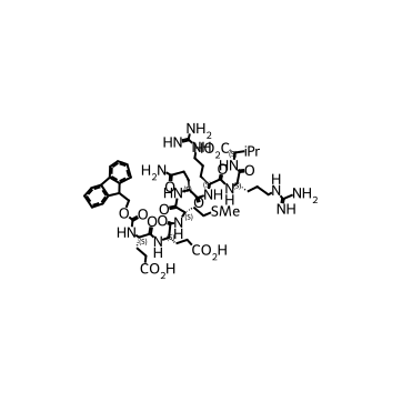 CSCC[C@H](NC(=O)[C@H](CCC(=O)O)NC(=O)[C@H](CCC(=O)O)NC(=O)OCC1c2ccccc2-c2ccccc21)C(=O)N[C@@H](CCC(N)=O)C(=O)N[C@@H](CCCNC(=N)N)C(=O)N[C@@H](CCCNC(=N)N)C(=O)N[C@H](C(=O)O)C(C)C